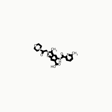 Cc1cccc(C(=O)Nc2cc3c(C)n(CC(=O)N4CCOCC4)nc3cc2C(=O)O)n1